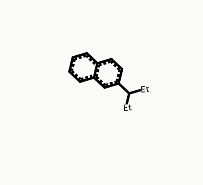 CC[C](CC)c1ccc2ccccc2c1